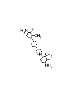 Cc1c(N2CCC(C3CCN(c4ccc(N)c(F)c4C)CC3)CC2)ccc(N)c1F